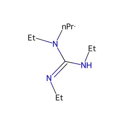 CC[CH]N(CC)/C(=N/CC)NCC